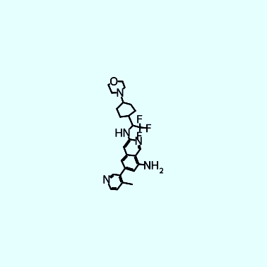 Cc1ccncc1-c1cc(N)c2cnc(NC(C3CCC(N4CCOCC4)CC3)C(F)(F)F)cc2c1